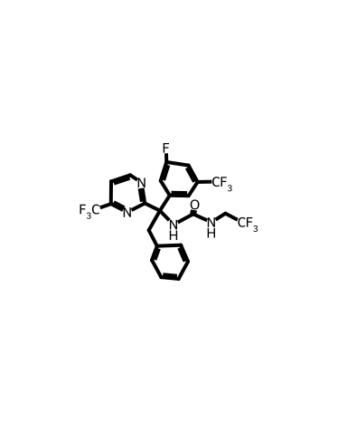 O=C(NCC(F)(F)F)NC(Cc1ccccc1)(c1cc(F)cc(C(F)(F)F)c1)c1nccc(C(F)(F)F)n1